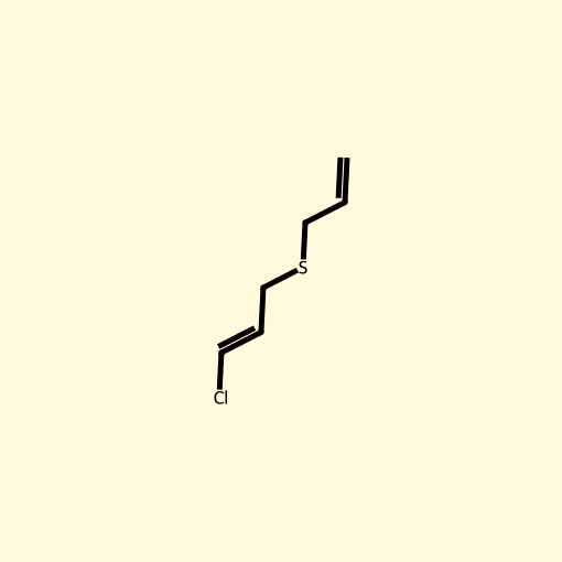 C=CCSCC=CCl